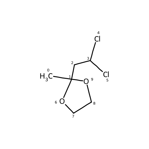 CC1(CC(Cl)Cl)OCCO1